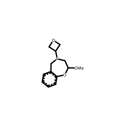 COC1CN(C2COC2)Cc2ccccc2O1